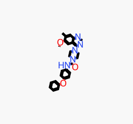 COc1cc2c(N3CCN(C(=O)Nc4ccc(Oc5ccccc5)cc4)CC3)ncnc2cc1C